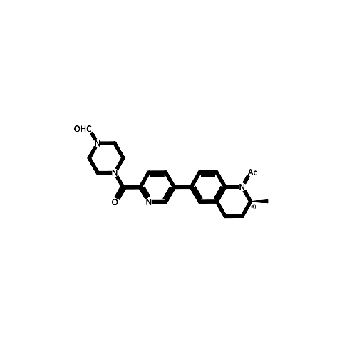 CC(=O)N1c2ccc(-c3ccc(C(=O)N4CCN(C=O)CC4)nc3)cc2CC[C@@H]1C